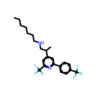 CCCCCCCNCC(C)c1cc(-c2ccc(C(F)(F)F)cc2)nc(C(F)(F)F)c1